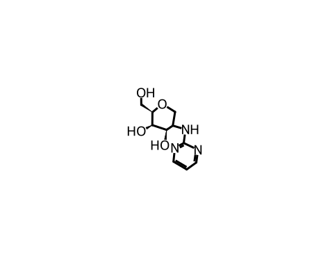 OC[C@H]1OCC(Nc2ncccn2)[C@@H](O)[C@H]1O